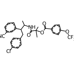 CC(NC(=O)C(C)(C)OC(=O)c1ccc(OC(F)(F)F)cc1)C(Cc1ccc(Cl)cc1)c1cccc(C#N)c1